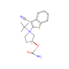 CC(C)(C)[N+]1(c2sc3ccccc3c2C#N)CC[C@H](OC(N)=O)C1